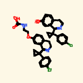 O=C(O)NCCOc1ccc2c(c1)C(C1(c3ccc(Cl)cc3)CC1)=NCC2.Oc1ccc2c(c1)C(C1(c3ccc(Cl)cc3)CC1)=NCC2